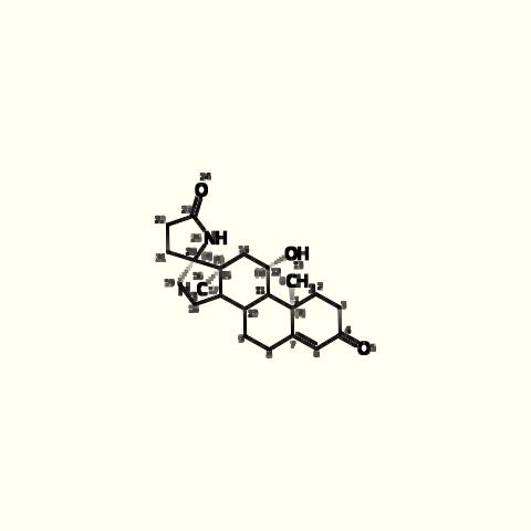 C[C@]12CCC(=O)C=C1CCC1C2[C@@H](O)C[C@@]2(C)C1CC[C@@]21CCC(=O)N1